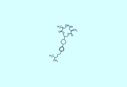 C=C(CO)C(=O)OCC(COC(=O)C(=C)CO)C1CCC(c2ccc(CCCC(C)C)cc2)CC1